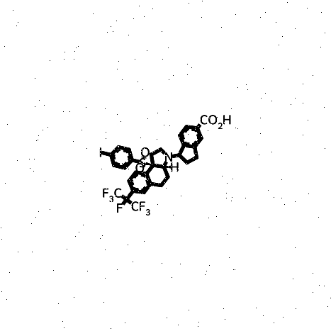 O=C(O)c1ccc2c(c1)CCC2N1CC[C@@]2(S(=O)(=O)c3ccc(I)cc3)c3ccc(C(F)(C(F)(F)F)C(F)(F)F)cc3CC[C@@H]12